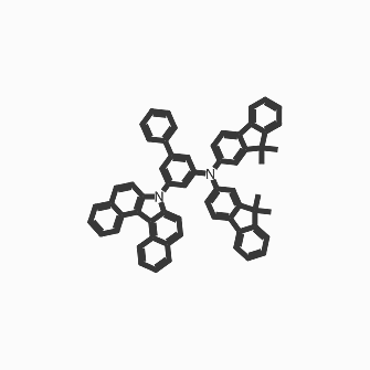 CC1(C)c2ccccc2-c2ccc(N(c3cc(-c4ccccc4)cc(-n4c5ccc6ccccc6c5c5c6ccccc6ccc54)c3)c3ccc4c(c3)C(C)(C)c3ccccc3-4)cc21